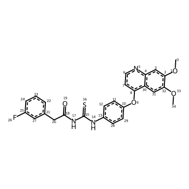 COc1cc2nccc(Oc3ccc(NC(=S)NC(=O)Cc4cccc(F)c4)cc3)c2cc1OC